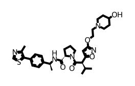 Cc1ncsc1-c1ccc([C@H](C)NC(=O)[C@@H]2CCCN2C(=O)[C@@H](c2cc(OCCN3CCC(O)CC3)no2)C(C)C)cc1